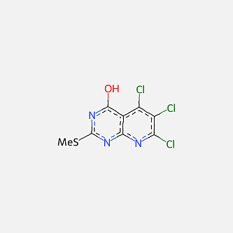 CSc1nc(O)c2c(Cl)c(Cl)c(Cl)nc2n1